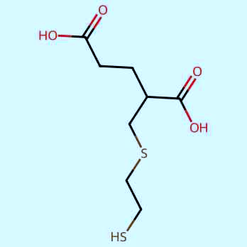 O=C(O)CCC(CSCCS)C(=O)O